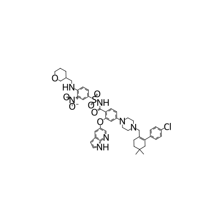 CC1(C)CCC(CN2CCN(c3ccc(C(=O)NS(=O)(=O)c4ccc(NCC5CCCOC5)c([N+](=O)[O-])c4)c(Oc4cnc5[nH]ccc5c4)c3)CC2)=C(c2ccc(Cl)cc2)C1